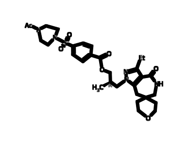 CCc1nn(C[C@@H](C)COC(=O)c2ccc(S(=O)(=O)N3CCN(C(C)=O)CC3)cc2)c2c1C(=O)NCC1(CCOCC1)C2